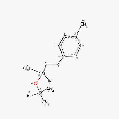 CC[Si](C)(C)O[Si](C)(CC)CCc1ccc(C)cc1